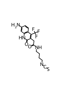 Nc1ccc2c(C(F)(F)F)c(CC(=O)NCCCCN=C=S)c(=O)[nH]c2c1